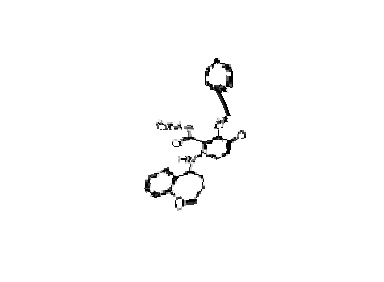 COC(=O)c1c(OCc2ccccc2)c(=O)ccn1NC1CCCOc2ccccc21